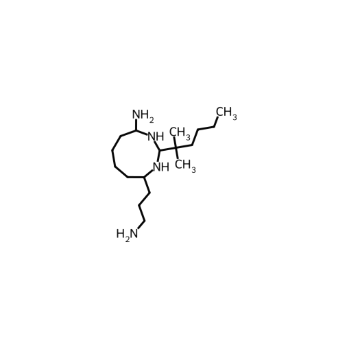 CCCCC(C)(C)C1NC(N)CCCCC(CCCN)N1